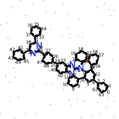 c1ccc(-c2cc(-c3ccccc3)c(-n3c4ccccc4n4c5cc(-c6ccc(-c7nc(-c8ccccc8)cc(-c8ccccc8)n7)cc6)ccc5nc34)c(-c3ccccc3)c2)cc1